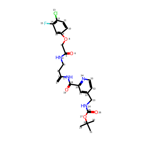 C=C(CCNC(=O)COc1ccc(Cl)c(F)c1)NC(=O)c1cc(CNC(=O)OC(C)(C)C)ccn1